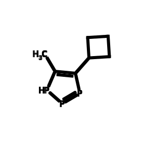 Cc1[pH]ppc1C1CCC1